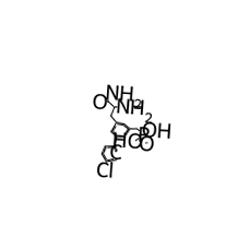 NC(=O)C(N)Cc1cc(CP(=O)(O)O)cc(-c2ccc(Cl)cc2)c1